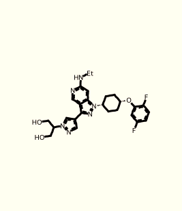 CCNc1cc2c(cn1)c(-c1cnn(C(CO)CO)c1)nn2[C@H]1CC[C@@H](Oc2cc(F)ccc2F)CC1